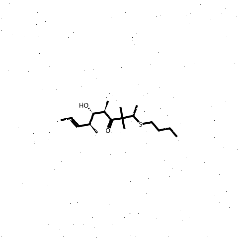 C/C=C/[C@H](C)[C@H](O)[C@@H](C)C(=O)C(C)(C)C(C)SCCCC